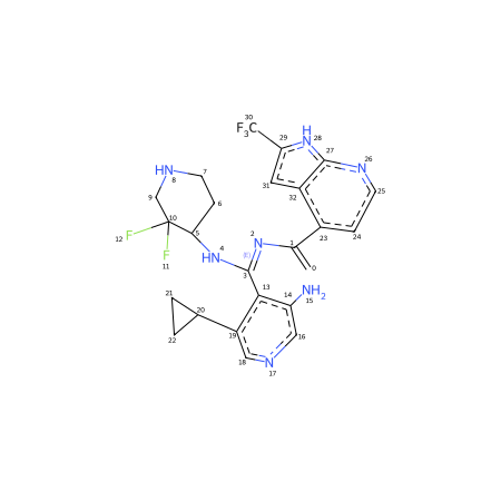 C=C(/N=C(/NC1CCNCC1(F)F)c1c(N)cncc1C1CC1)c1ccnc2[nH]c(C(F)(F)F)cc12